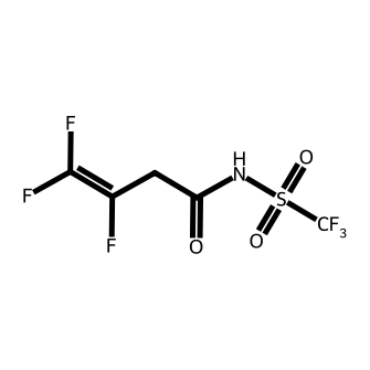 O=C(CC(F)=C(F)F)NS(=O)(=O)C(F)(F)F